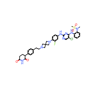 CN(c1ccccc1Nc1nc(Nc2ccc(N3CC4(CN(CCc5ccc(C6CCC(=O)NC6=O)cc5)C4)C3)c(F)c2)ncc1Cl)S(C)(=O)=O